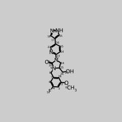 COc1cc(F)cc(CN2C(=O)N(c3ccc(-c4cn[nH]c4)cn3)CC2CO)c1